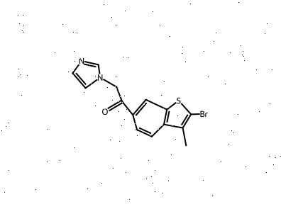 Cc1c(Br)sc2cc(C(=O)Cn3ccnc3)ccc12